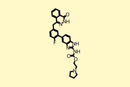 O=C(Nc1nc2cc(-c3cc(Cc4n[nH]c(=O)c5ccccc45)ccc3F)ccc2[nH]1)OCCN1CCCC1